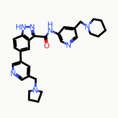 O=C(Nc1cncc(CN2CCCCC2)c1)c1n[nH]c2ccc(-c3cncc(CN4CCCC4)c3)cc12